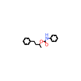 CC(CCc1ccccc1)OC(=O)Nc1ccccc1